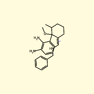 COC1(c2cccc(N)c2N)/C(=C\NCc2ccccc2)CCCC1C